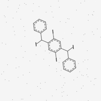 Ic1cc(C(I)c2ccccc2)c(I)cc1C(I)c1ccccc1